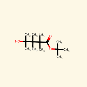 CC(C)(C)OC(=O)C(C)(C)C(C)(C)C(C)(C)O